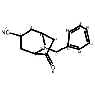 N#CC1CC2CC(=O)C(C1)N2Cc1ccccc1